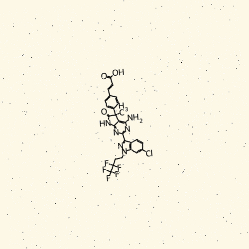 CC1(c2ccc(/C=C/C(=O)O)cc2)C(=O)Nc2nc(-c3nn(CCC(F)(F)C(F)(F)F)c4cc(Cl)ccc34)nc(N)c21